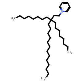 CCCCCCCCCCCCCC(CCCCCCCC)(CCCCCCCC)CC[n+]1ccccc1